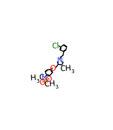 CC1CN(CCc2cccc(Cl)c2)CC1COc1ccc(N(C)S(C)(=O)=O)cc1